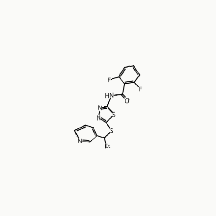 CCC(Sc1nnc(NC(=O)c2c(F)cccc2F)s1)c1cccnc1